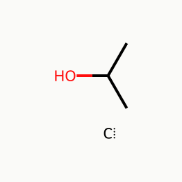 CC(C)O.[C]